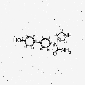 NC(=O)N(c1ccc(-c2ccc(O)cc2)cc1)N1CCNC1